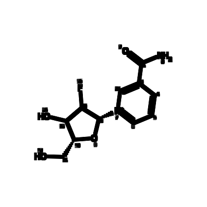 NC(=O)c1ccc[n+]([C@@H]2O[C@H](CO)C(O)C2F)c1